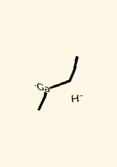 C[CH2][Ga][CH3].[H-]